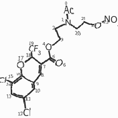 CC(=O)N(CCOC(=O)C1=Cc2cc(Cl)cc(Cl)c2OC1C(F)(F)F)CCO[N+](=O)[O-]